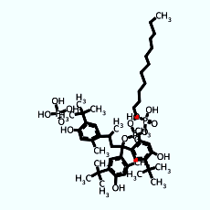 CCCCCCCCCCCCCOP(=O)(OC(CC(C)c1cc(C(C)(C)C)c(O)cc1C)(c1cc(C(C)(C)C)c(O)cc1C)c1cc(C(C)(C)C)c(O)cc1C)OP(=O)(O)O.O=P(O)(O)O